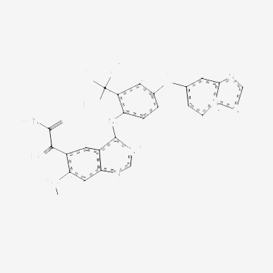 C=C(C(N)=O)c1cc2c(Nc3ccc(Oc4ccn5ncnc5c4)cc3C(C)(C)O)ncnc2cc1OC